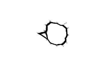 C1CCCCCC2CC2CCCC1